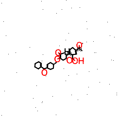 COC1=C(OCC2CC=C(C(=O)C3=CCCCC3)CC2)CC2OC(O)C3C=C([C@H](C)OC)CC[C@@H]3C2C1